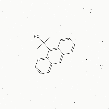 CC(C)(O)c1c2ccccc2cc2ccccc12